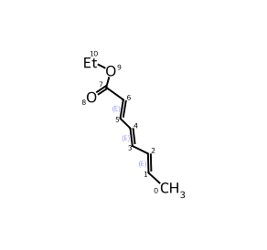 C/C=C/C=C/C=C/C(=O)OCC